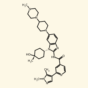 Cc1c(-c2cc(C(=O)Nc3nc4ccc(N5CCC(N6CCN(C)CC6)CC5)cc4n3[C@H]3CC[C@@](C)(O)CC3)ccn2)cnn1C